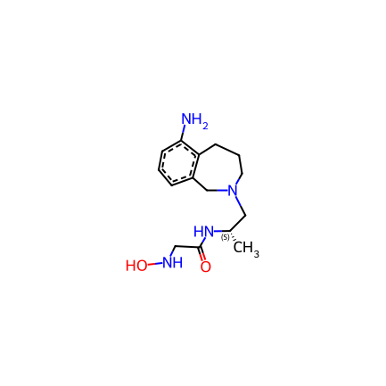 C[C@@H](CN1CCCc2c(N)cccc2C1)NC(=O)CNO